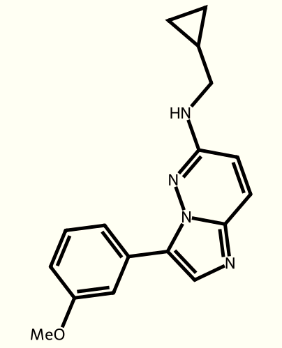 COc1cccc(-c2cnc3ccc(NCC4CC4)nn23)c1